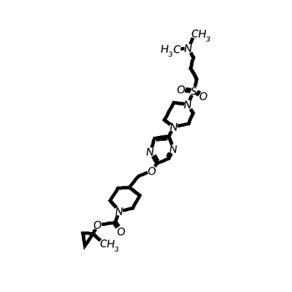 CN(C)CCCS(=O)(=O)N1CCN(c2cnc(OCC3CCN(C(=O)OC4(C)CC4)CC3)cn2)CC1